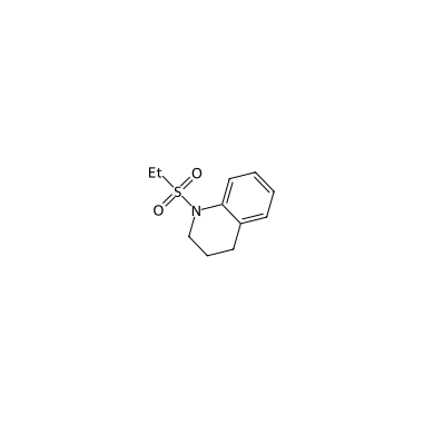 CCS(=O)(=O)N1CCCc2ccccc21